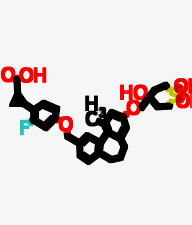 Cc1cc(OCC2(O)CCS(O)(O)CC2)cc2c1-c1cc(COc3ccc(C4CC4C(=O)O)c(F)c3)ccc1CCC2